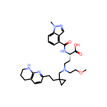 COCCN(CC[C@H](NC(=O)c1cccc2c1cnn2C)C(=O)O)CC1(CCc2ccc3c(n2)NCCC3)CC1